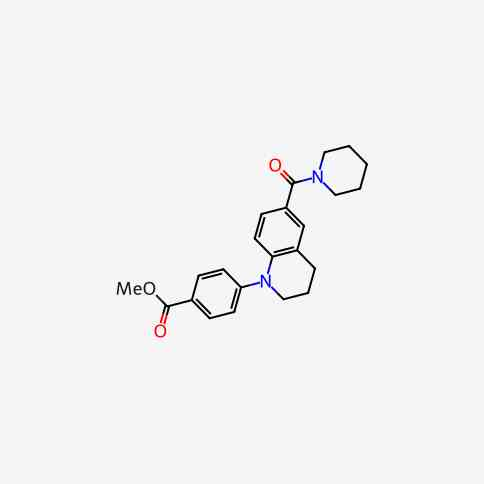 COC(=O)c1ccc(N2CCCc3cc(C(=O)N4CCCCC4)ccc32)cc1